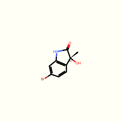 C[C@]1(O)C(=O)Nc2cc(Br)ccc21